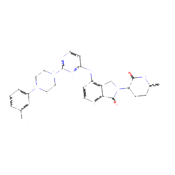 C=C1CCC(N2Cc3c(Nc4ccnc(N5CCN(c6cccc(C)c6)CC5)n4)cccc3C2=O)C(=O)N1